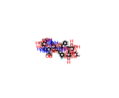 CC(C)CC(=O)OC1C(OC2C(CO)OC(Oc3ccc(C[C@H](NC(=O)[C@@H](N)C(C)c4ccccc4)C(=O)N[C@H](C(=O)N[C@H](C(=O)N[C@H]([C]=O)CO)C(O)C4CNC(=N)N4C4OC(CO)C(O)C(O)C4O)C(O)C4CNC(=N)N4)cc3F)C(O)C2O)OC(CO)C(O)C1O